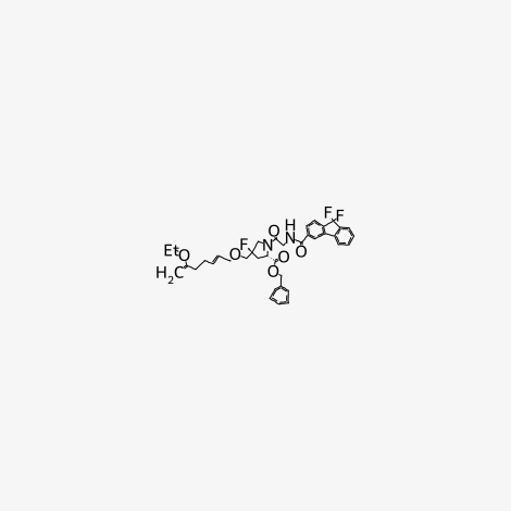 C=C(CC/C=C/COC[C@@]1(F)C[C@@H](C(=O)OCc2ccccc2)N(C(=O)CNC(=O)c2ccc3c(c2)-c2ccccc2C3(F)F)C1)OCC